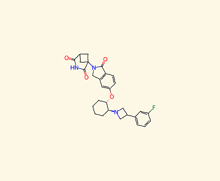 O=C1NC(=O)C2(N3Cc4cc(O[C@H]5CCCC[C@@H]5N5CC(c6cccc(F)c6)C5)ccc4C3=O)CC1C2